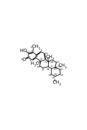 CC1=C(O)C(=O)C=C2C1=CC=C1C2(C)CCC2C3C[C@@H](C)CC[C@]3(C)CCC12C